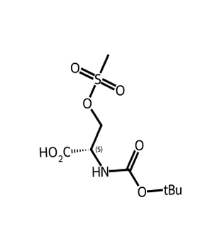 CC(C)(C)OC(=O)N[C@@H](COS(C)(=O)=O)C(=O)O